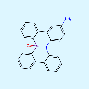 Nc1ccc2c(c1)-c1ccccc1P1(=O)c3ccccc3-c3ccccc3N21